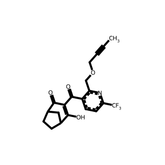 CC#CCOCc1nc(C(F)(F)F)ccc1C(=O)C1=C(O)C2CCC(C2)C1=O